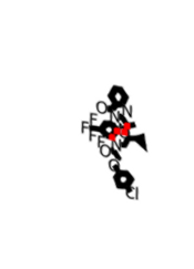 CC(C)Oc1cc(F)c(C(F)(F)F)cc1-n1c(CN2CCN(C(=O)COc3ccc(Cl)cc3)CC2C2CC2)nc2ccccc2c1=O